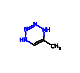 CC1=CNN=NN1